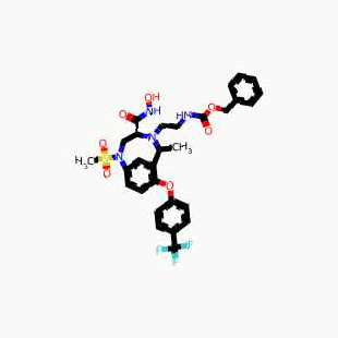 CC1c2cc(ccc2Oc2ccc(C(F)(F)F)cc2)N(S(C)(=O)=O)C[C@@H](C(=O)NO)N1CCNC(=O)OCc1ccccc1